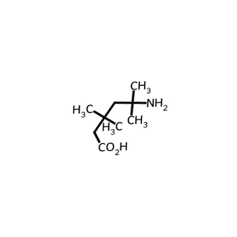 CC(C)(N)CC(C)(C)CC(=O)O